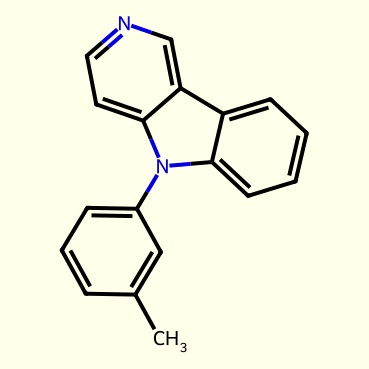 Cc1cccc(-n2c3ccccc3c3cnccc32)c1